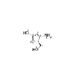 N[C@H]1C[C@@H](O)O[C@@H]1CO